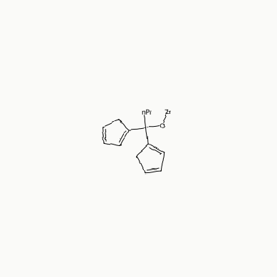 CCCC([O][Zr])(C1=CC=CC1)C1=CC=CC1